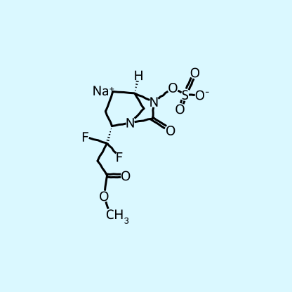 COC(=O)CC(F)(F)[C@@H]1CC[C@@H]2CN1C(=O)N2OS(=O)(=O)[O-].[Na+]